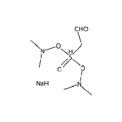 CN(C)O[SH](=O)(CC=O)ON(C)C.[NaH]